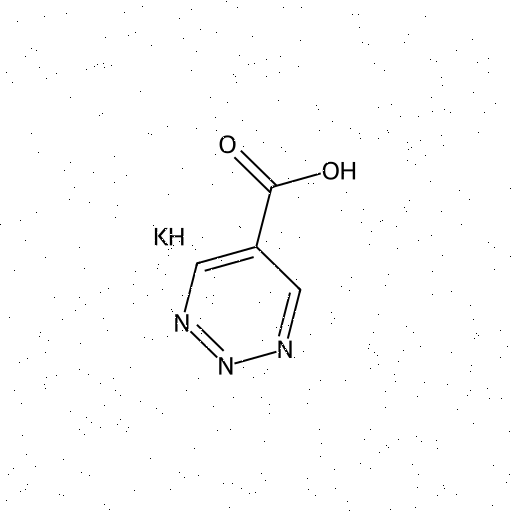 O=C(O)c1cnnnc1.[KH]